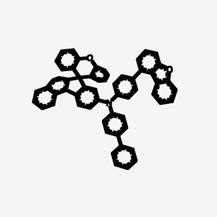 c1ccc(-c2ccc(N(c3ccc(-c4cccc5oc6ccccc6c45)cc3)c3ccc4c(c3)C3(c5ccccc5Oc5ccccc53)c3ccc5ccccc5c3-4)cc2)cc1